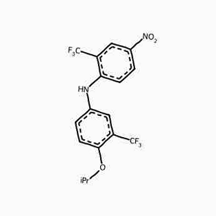 CC(C)Oc1ccc(Nc2ccc([N+](=O)[O-])cc2C(F)(F)F)cc1C(F)(F)F